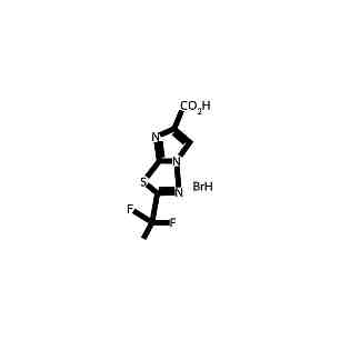 Br.CC(F)(F)c1nn2cc(C(=O)O)nc2s1